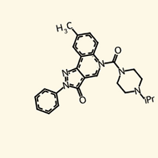 Cc1ccc2c(c1)c1nn(-c3ccccc3)c(=O)c-1cn2C(=O)N1CCN(C(C)C)CC1